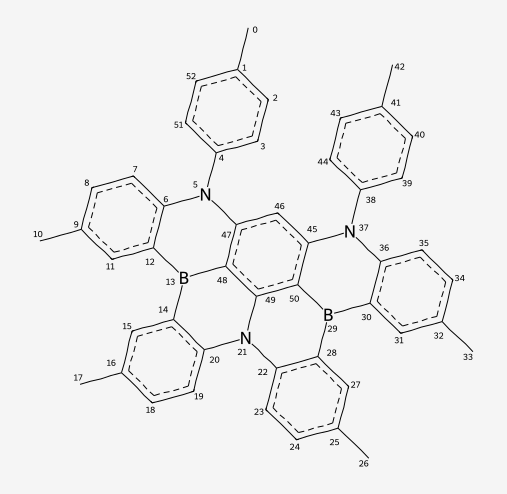 Cc1ccc(N2c3ccc(C)cc3B3c4cc(C)ccc4N4c5ccc(C)cc5B5c6cc(C)ccc6N(c6ccc(C)cc6)c6cc2c3c4c65)cc1